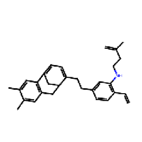 C=Cc1ccc(CCC2=CC=C3CC2Cc2cc(C)c(C)cc23)cc1NCCC(=C)C